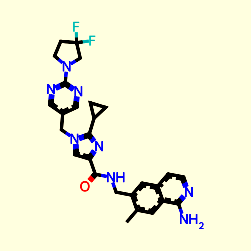 Cc1cc2c(N)nccc2cc1CNC(=O)c1cn(Cc2cnc(N3CCC(F)(F)C3)nc2)c(C2CC2)n1